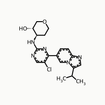 CC(C)c1cnc2ccc(-c3nc(N[C@@H]4CCOC[C@H]4O)ncc3Cl)cn12